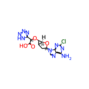 Nc1nc(Cl)nc2c1ncn2[C@H]1CC2C(O[C@@H](C(=O)O)c3nnn[nH]3)[C@H]2O1